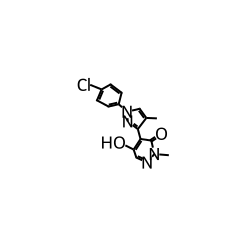 Cc1cn(-c2ccc(Cl)cc2)nc1-c1c(O)cnn(C)c1=O